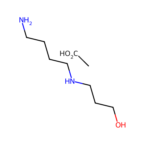 CC(=O)O.NCCCCNCCCO